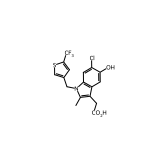 Cc1c(CC(=O)O)c2cc(O)c(Cl)cc2n1Cc1csc(C(F)(F)F)c1